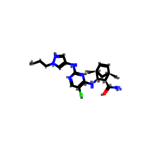 CC(C)CCn1cc(Nc2ncc(Cl)c(N[C@H]3[C@@H](C(N)=O)[C@@H]4C=C[C@H]3C4)n2)cn1